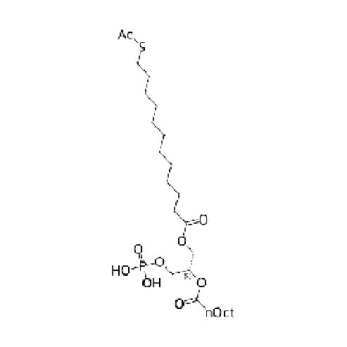 CCCCCCCCC(=O)O[C@@H](COC(=O)CCCCCCCCCCCSC(C)=O)COP(=O)(O)O